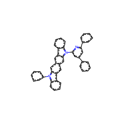 c1ccc(-c2cc(-c3ccccc3)nc(-n3c4ccccc4c4cc5cc6c(cc5cc43)c3ccccc3n6-c3ccccc3)c2)cc1